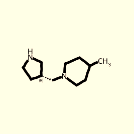 CC1CCN(C[C@@H]2CCNC2)CC1